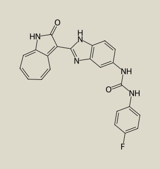 O=C(Nc1ccc(F)cc1)Nc1ccc2[nH]c(-c3c4cccccc-4[nH]c3=O)nc2c1